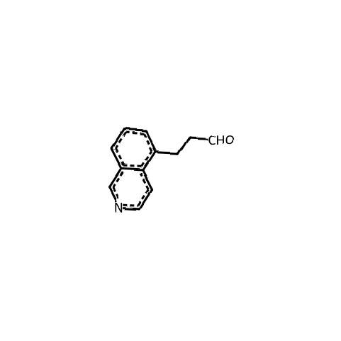 O=CCCc1cccc2cnccc12